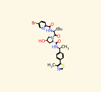 Cc1ncsc1-c1ccc([C@H](C)NC(=O)[C@@H]2C[C@@H](O)CN2C(=O)[C@@H](NC(=O)c2ccc(Br)cn2)C(C)(C)C)cc1